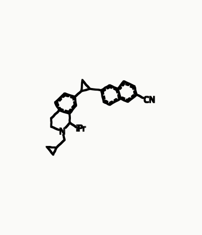 CC(C)C1c2cc(C3CC3c3ccc4cc(C#N)ccc4c3)ccc2CCN1CC1CC1